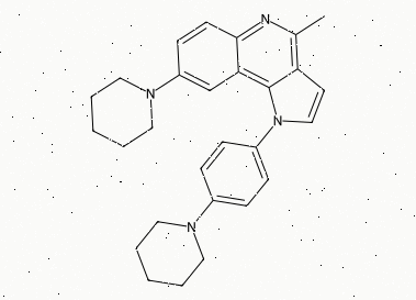 Cc1nc2ccc(N3CCCCC3)cc2c2c1ccn2-c1ccc(N2CCCCC2)cc1